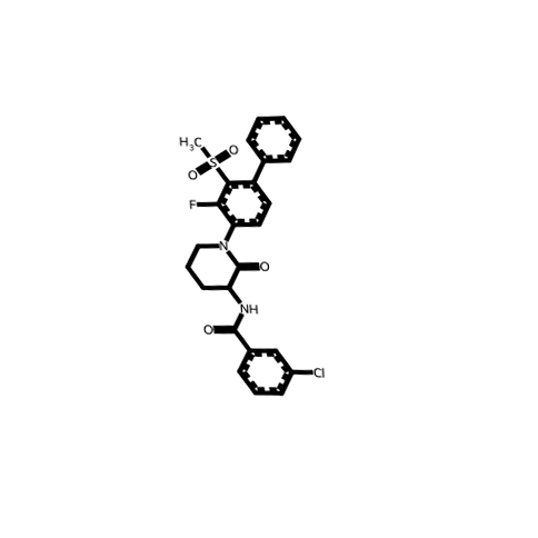 CS(=O)(=O)c1c(-c2ccccc2)ccc(N2CCCC(NC(=O)c3cccc(Cl)c3)C2=O)c1F